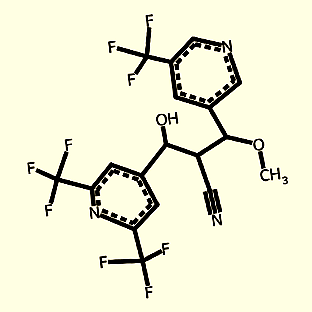 COC(c1cncc(C(F)(F)F)c1)C(C#N)C(O)c1cc(C(F)(F)F)nc(C(F)(F)F)c1